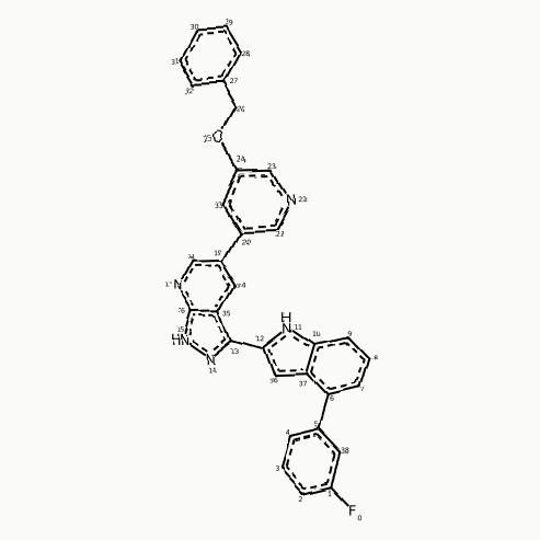 Fc1cccc(-c2cccc3[nH]c(-c4n[nH]c5ncc(-c6cncc(OCc7ccccc7)c6)cc45)cc23)c1